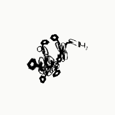 CCCCOc1c(OCc2ccccc2)c2ccc(O[C@@H]3O[C@H](COC(=O)c4ccccc4)[C@H](OC(=O)c4ccccc4)[C@H](OC(=O)c4ccccc4)[C@H]3OC(=O)c3ccccc3)cc2oc1=O